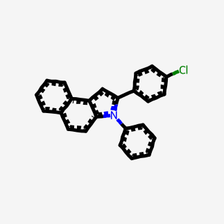 Clc1ccc(-c2cc3c4ccccc4ccc3n2-c2ccccc2)cc1